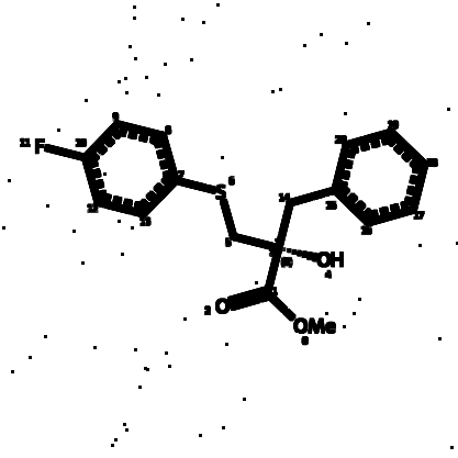 COC(=O)[C@@](O)(CSc1ccc(F)cc1)Cc1ccccc1